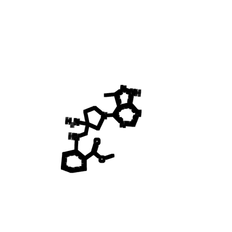 COC(=O)c1ccccc1NCC1(N)CCN(c2ncnc3[nH]nc(C)c23)C1